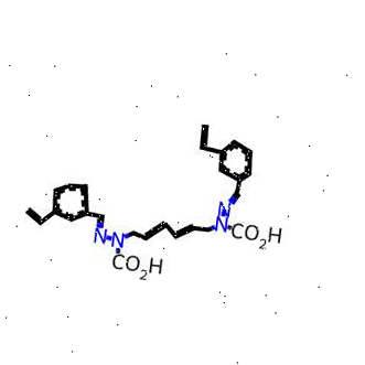 C=Cc1cccc(C=NN(CC=CC=CCN(N=Cc2cccc(C=C)c2)C(=O)O)C(=O)O)c1